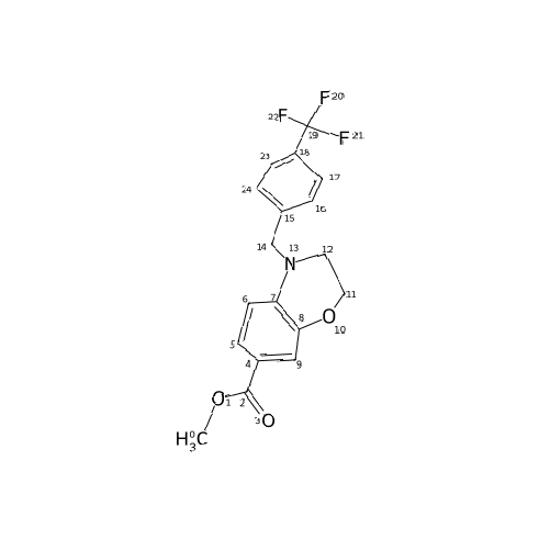 COC(=O)c1ccc2c(c1)OCCN2Cc1ccc(C(F)(F)F)cc1